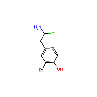 CCc1cc(CC(N)Cl)ccc1O